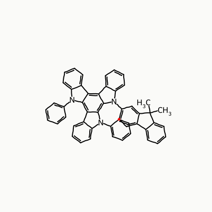 CC1(C)c2ccccc2-c2ccc(-n3c4ccccc4c4c5c6ccccc6n(-c6ccccc6)c5c5c6ccccc6n(-c6ccccc6)c5c43)cc21